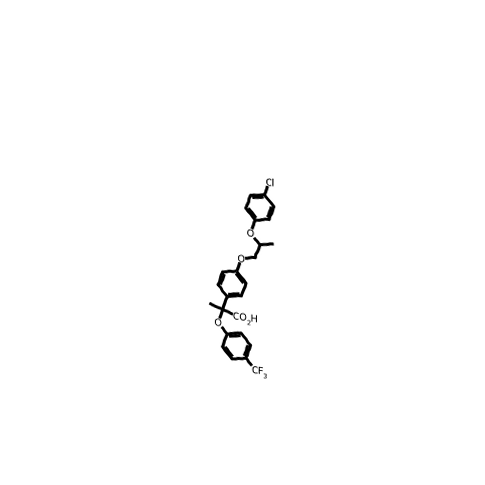 CC(COc1ccc(C(C)(Oc2ccc(C(F)(F)F)cc2)C(=O)O)cc1)Oc1ccc(Cl)cc1